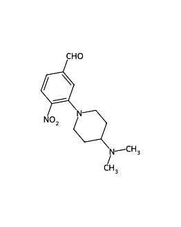 CN(C)C1CCN(c2cc(C=O)ccc2[N+](=O)[O-])CC1